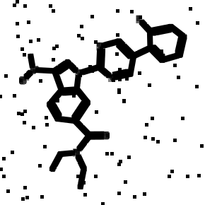 CCN(CC)C(=O)c1ccc2c([S+](C)[O-])cn(-c3ncc(-c4ccccc4F)cn3)c2c1